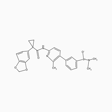 Cc1nc(NC(=O)C2(c3ccc4c(c3)OCO4)CC2)ccc1-c1cccc([S+]([O-])N(C)C)c1